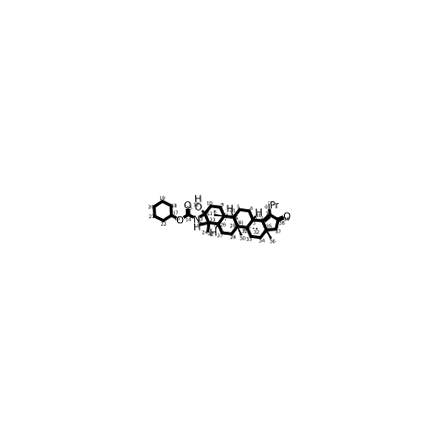 CC(C)C1=C2[C@H]3CC[C@@H]4[C@@]5(C)CC[C@@](O)(NC(=O)OC6CCCCC6)C(C)(C)[C@@H]5CC[C@@]4(C)[C@]3(C)CC[C@@]2(C)CC1=O